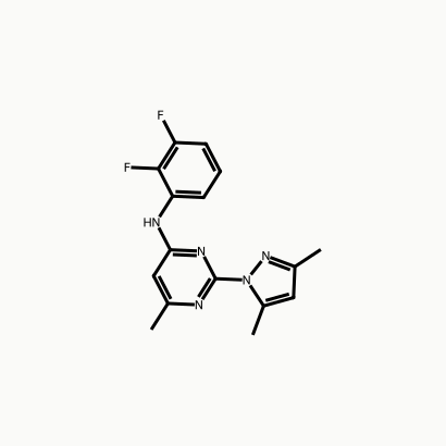 Cc1cc(Nc2cccc(F)c2F)nc(-n2nc(C)cc2C)n1